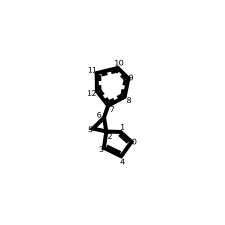 C1=CC2(C=C1)CC2c1ccccc1